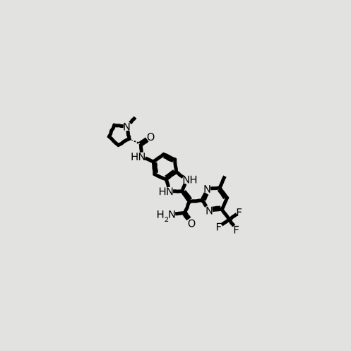 Cc1cc(C(F)(F)F)nc(/C(C(N)=O)=C2\Nc3ccc(NC(=O)[C@@H]4CCCN4C)cc3N2)n1